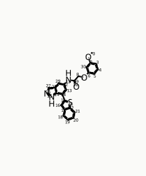 COc1cccc(OCC(=O)Nc2cc(-c3cc4ccccc4s3)c3[nH]ncc3c2)c1